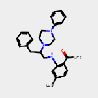 COC(=O)c1ccc(OC)cc1NCC(Cc1ccccc1)N1CCN(c2ccccc2)CC1